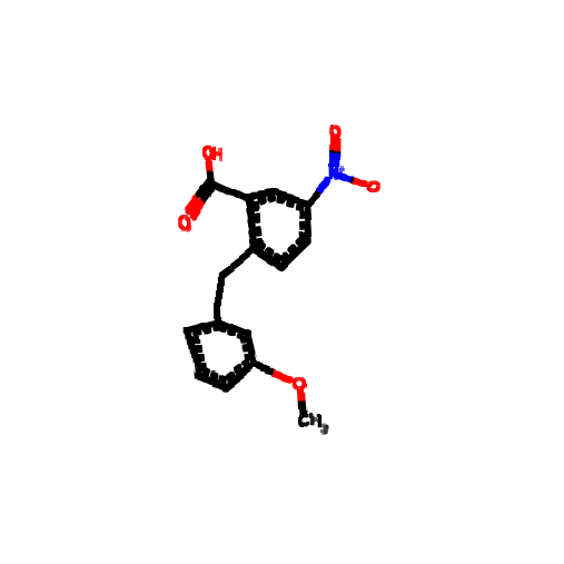 COc1cccc(Cc2ccc([N+](=O)[O-])cc2C(=O)O)c1